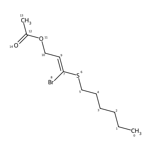 CCCCCCSC(Br)=CCOC(C)=O